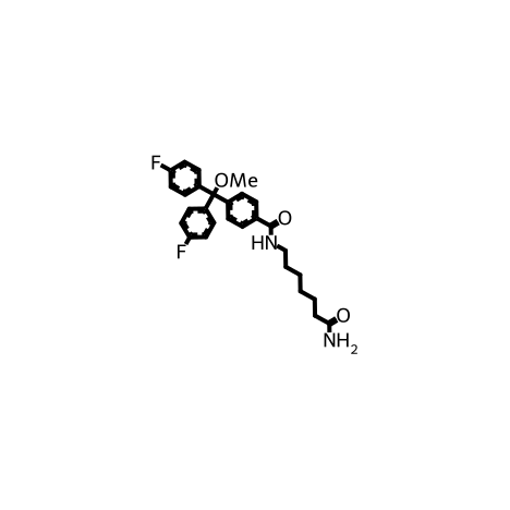 COC(c1ccc(F)cc1)(c1ccc(F)cc1)c1ccc(C(=O)NCCCCCCC(N)=O)cc1